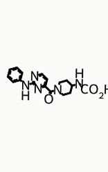 O=C(O)NC1CCN(C(=O)c2ccnc(Nc3ccccc3)n2)CC1